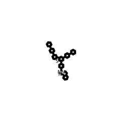 c1ccc(-c2ccc(-c3ccc4sc5c(-c6ccc(-c7nnc8c9ccccc9ccn78)cc6)cc(-c6ccc(-c7ccccc7)cc6)cc5c4c3)cc2)cc1